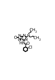 C=CCN(CC=C)c1nc(NC(=O)c2ccccc2Cl)n2oc(=O)nc2n1